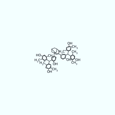 Cc1cc(C(c2cc(C)c(O)cc2C)c2cc(C34CC5CC(C3)CC(c3ccc(O)c(C(c6cc(C)c(O)cc6C)c6cc(C)c(O)cc6C)c3)(C5)C4)ccc2O)c(C)cc1O